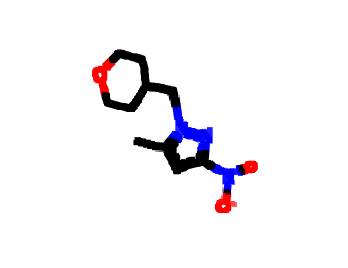 Cc1cc([N+](=O)[O-])nn1CC1CCOCC1